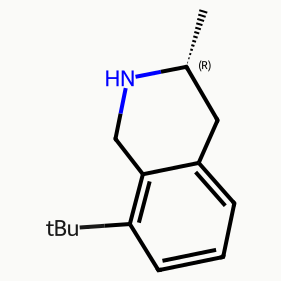 C[C@@H]1Cc2cccc(C(C)(C)C)c2CN1